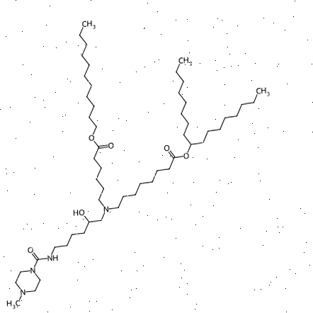 CCCCCCCCCCCOC(=O)CCCCCN(CCCCCCCC(=O)OC(CCCCCCCC)CCCCCCCC)CC(O)CCCCNC(=O)N1CCN(C)CC1